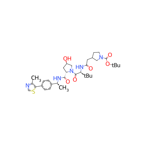 Cc1ncsc1-c1ccc([C@H](C)NC(=O)[C@@H]2C[C@@H](O)CN2C(=O)[C@@H](NC(=O)CC2CCN(C(=O)OC(C)(C)C)C2)C(C)(C)C)cc1